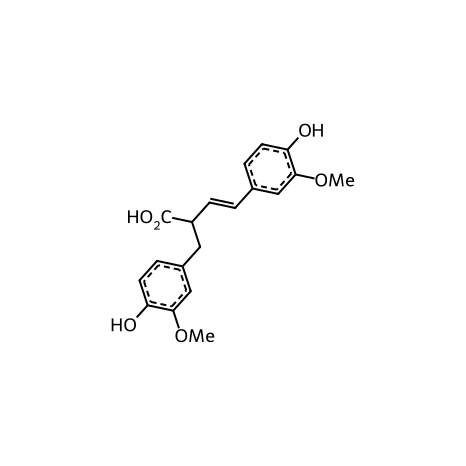 COc1cc(C=CC(Cc2ccc(O)c(OC)c2)C(=O)O)ccc1O